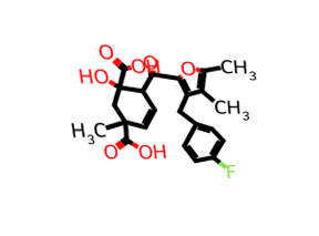 Cc1oc(C(=O)C2C=CC(C)(C(=O)O)CC2(O)C(=O)O)c(Cc2ccc(F)cc2)c1C